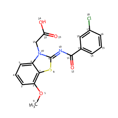 COc1cccc2c1sc(=NC(=O)c1cccc(Cl)c1)n2CC(=O)O